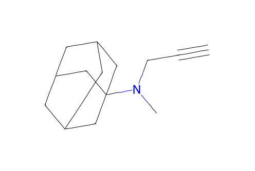 C#CCN(C)C12CC3CC(CC(C3)C1)C2